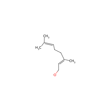 CC(C)=CCCC(C)=CC[O]